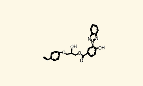 C=Cc1ccc(OCC(O)COC(=O)c2ccc(O)c(-n3nc4ccccc4n3)c2)cc1